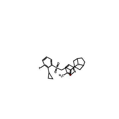 Cc1ccc(N2C3CCC2CN(C(=O)CCS(=O)(=O)c2cccc(F)c2C2CC2)C3)nc1